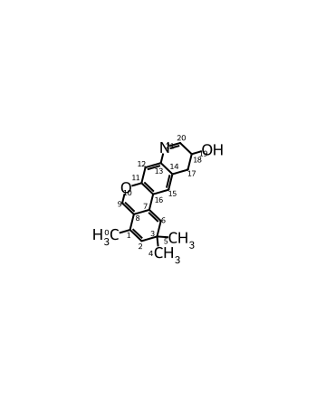 CC1=CC(C)(C)C=C2C1=COc1cc3c(cc12)CC(O)C=N3